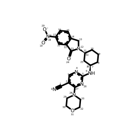 N#Cc1cnc(N[C@@H]2CCC[C@H](N3Cc4ccc([N+](=O)[O-])cc4C3=O)C2)nc1N1CCOCC1